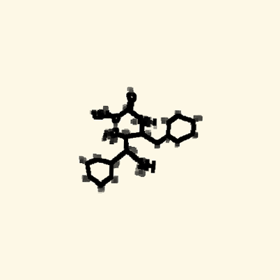 CC(C)(C)OC(=O)NC(CC1CCCCC1)C(O)C(S)C1CCCCC1